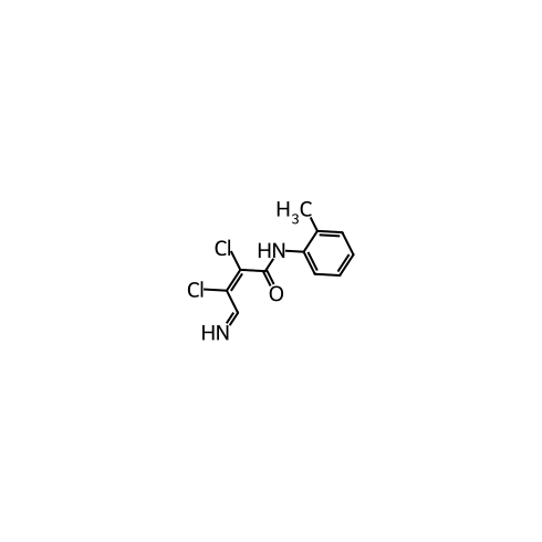 Cc1ccccc1NC(=O)/C(Cl)=C(/Cl)C=N